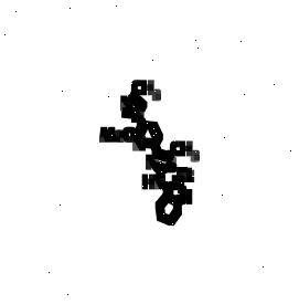 CCn1nc2c(c1Nc1nc(-c3ccc(-n4cnc(C)c4)c(OC)n3)c(C)s1)CCCC2